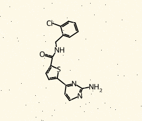 Nc1nccc(-c2ccc(C(=O)NCc3ccccc3Cl)s2)n1